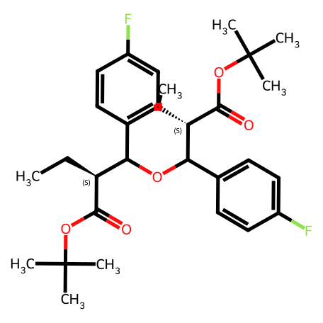 CC[C@H](C(=O)OC(C)(C)C)C(OC(c1ccc(F)cc1)[C@H](CC)C(=O)OC(C)(C)C)c1ccc(F)cc1